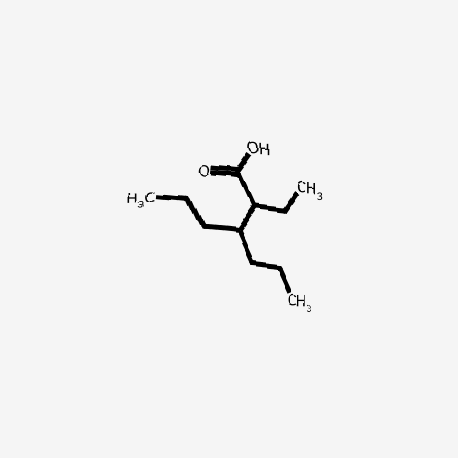 CCCC(CCC)C(CC)C(=O)O